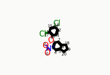 O=[N+]([O-])c1cc2c(cc1Oc1ccc(Cl)cc1Cl)CCC2